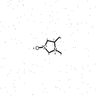 CC1C[S+]([O-])CN1C